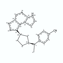 CN(c1ccc(C#N)cn1)[C@H]1CC[C@@H](c2nnc3cnc4[nH]ccc4n23)C1